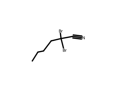 CCCCC(Br)(Br)C#N